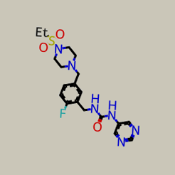 CCS(=O)(=O)N1CCN(Cc2ccc(F)c(CNC(=O)Nc3cncnc3)c2)CC1